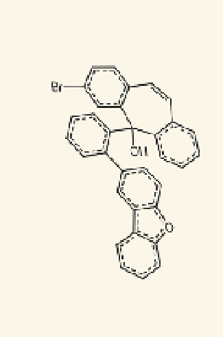 OC1(c2ccccc2-c2ccc3oc4ccccc4c3c2)c2ccccc2C=Cc2ccc(Br)cc21